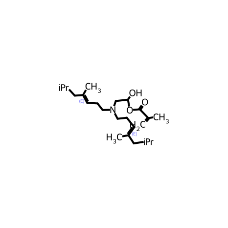 C=C(C)C(=O)OC(O)CN(CC/C=C(\C)CC(C)C)CC/C=C(\C)CC(C)C